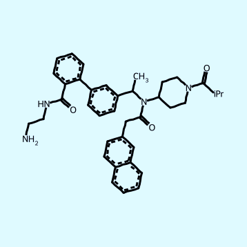 CC(C)C(=O)N1CCC(N(C(=O)Cc2ccc3ccccc3c2)C(C)c2cccc(-c3ccccc3C(=O)NCCN)c2)CC1